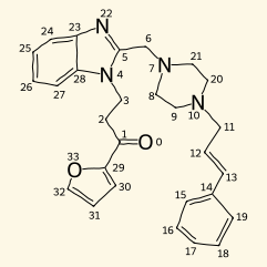 O=C(CCn1c(CN2CCN(CC=Cc3ccccc3)CC2)nc2ccccc21)c1ccco1